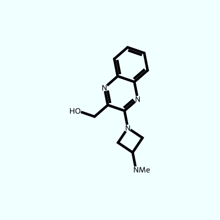 CNC1CN(c2nc3ccccc3nc2CO)C1